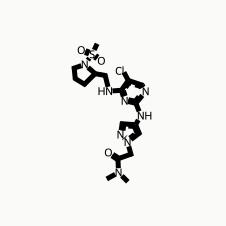 CN(C)C(=O)Cn1cc(Nc2ncc(Cl)c(NCC3CCCN3S(C)(=O)=O)n2)cn1